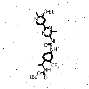 CCOc1cc(-c2ncc(NC(=O)Nc3ccc(C(C)NC(=O)OC(C)(C)C)c(C(F)(F)F)c3)c(C)n2)cnc1C